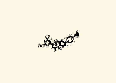 C[C@@H](CC(=N)c1cc(C(F)(F)F)nc(C#N)n1)S(=O)(=O)c1ccc(N2CCN(C3CC3)CC2)cc1Cl